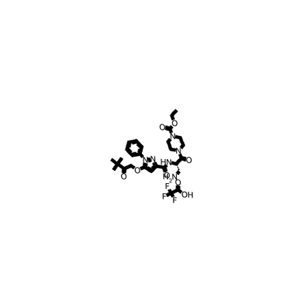 CCOC(=O)N1CCN(C(=O)[C@H](CN)NC(=O)c2cc(OCC(=O)C(C)(C)C)n(-c3ccccc3)n2)CC1.O=C(O)C(F)(F)F